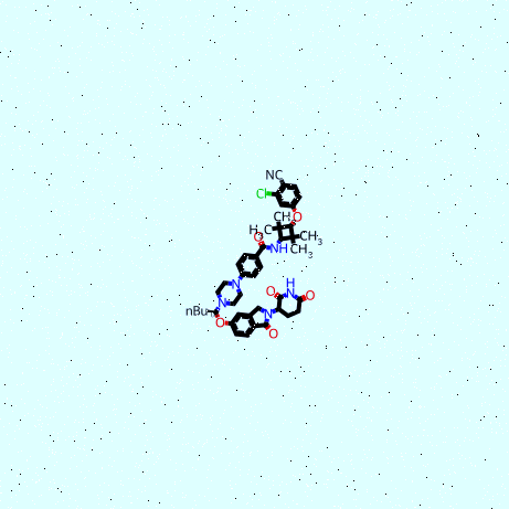 CCCC[C@H](Oc1ccc2c(c1)CN(C1CCC(=O)NC1=O)C2=O)N1CCN(c2ccc(C(=O)NC3C(C)(C)C(Oc4ccc(C#N)c(Cl)c4)C3(C)C)cc2)CC1